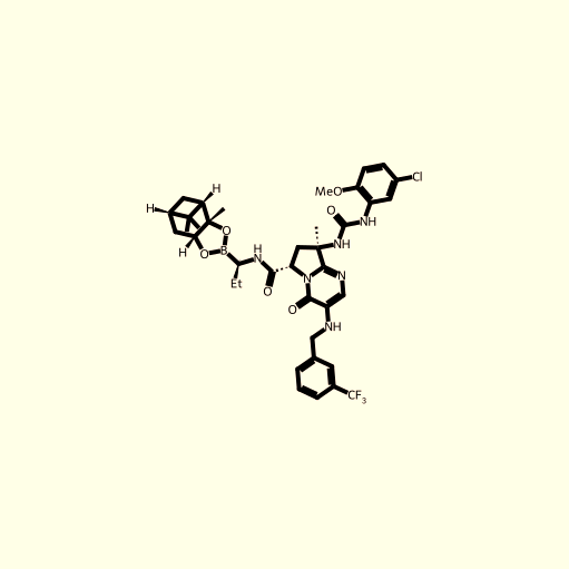 CC[C@H](NC(=O)[C@@H]1C[C@@](C)(NC(=O)Nc2cc(Cl)ccc2OC)c2ncc(NCc3cccc(C(F)(F)F)c3)c(=O)n21)B1O[C@@H]2C[C@@H]3C[C@@H](C3(C)C)[C@]2(C)O1